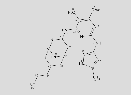 COc1nc(Nc2cc(C)[nH]n2)nc(NC2CC3CC(CCC#N)CC(C2)N3)c1C